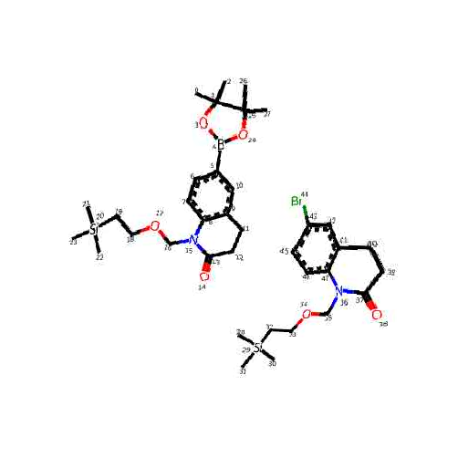 CC1(C)OB(c2ccc3c(c2)CCC(=O)N3COCC[Si](C)(C)C)OC1(C)C.C[Si](C)(C)CCOCN1C(=O)CCc2cc(Br)ccc21